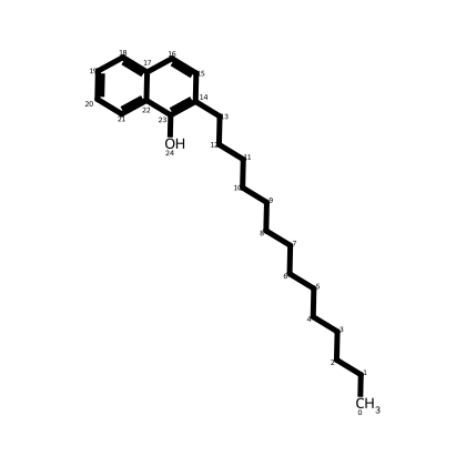 CCCCCCCCCCCCCCc1ccc2ccccc2c1O